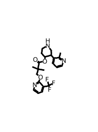 Cc1ncccc1C1CNCCC1OC(=O)C(C)(C)COc1ncccc1C(F)(F)F